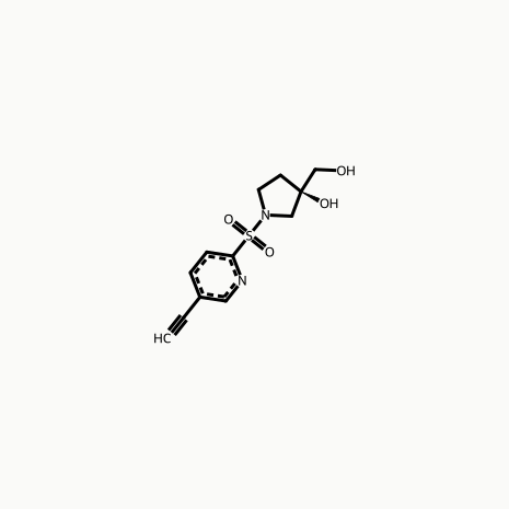 C#Cc1ccc(S(=O)(=O)N2CC[C@](O)(CO)C2)nc1